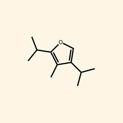 Cc1c(C(C)C)coc1C(C)C